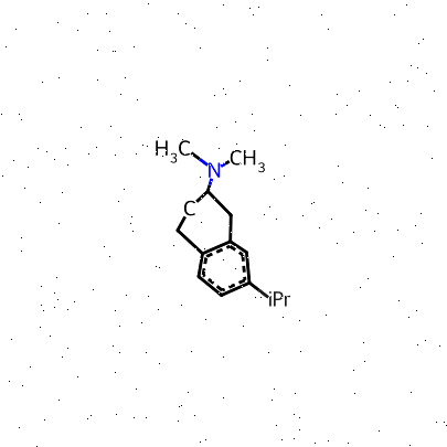 CC(C)c1ccc2c(c1)CC(N(C)C)CC2